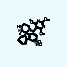 COc1nc(OC)c(CN2CCN[C@H](C)C2(c2ccccc2)c2ccccc2)c(OC)n1.Cl.Cl